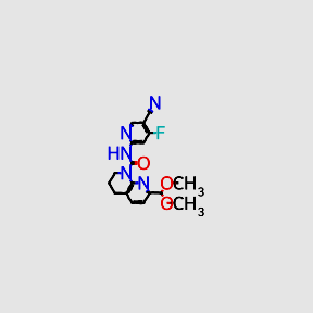 COC(OC)c1ccc2c(n1)N(C(=O)Nc1cc(F)c(C#N)cn1)CCC2